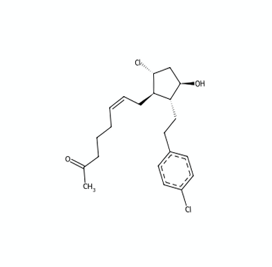 CC(=O)CCC/C=C\C[C@@H]1[C@@H](CCc2ccc(Cl)cc2)[C@H](O)C[C@H]1Cl